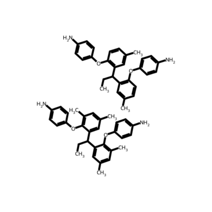 CCC(c1cc(C)cc(C)c1Oc1ccc(N)cc1)c1cc(C)cc(C)c1Oc1ccc(N)cc1.CCC(c1cc(C)ccc1Oc1ccc(N)cc1)c1cc(C)ccc1Oc1ccc(N)cc1